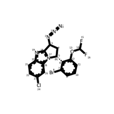 [N-]=[N+]=NC1C[C@H](c2c(Br)cccc2OC(F)F)n2c1nc1ccc(Cl)cc12